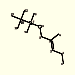 CC/C=C(\C)CO[Si](C)(C)C(C)(C)C